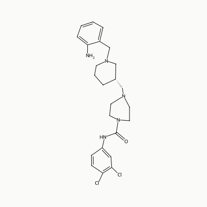 Nc1ccccc1CN1CCC[C@@H](CN2CCN(C(=O)Nc3ccc(Cl)c(Cl)c3)CC2)C1